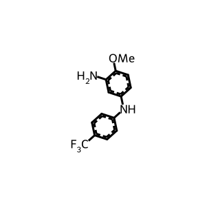 COc1ccc(Nc2ccc(C(F)(F)F)cc2)cc1N